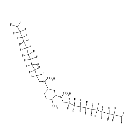 CC1CCC(N(CC(F)(F)C(F)(F)C(F)(F)C(F)(F)C(F)(F)C(F)(F)C(F)(F)C(F)(F)C(F)(F)C(F)F)C(=O)O)CC1N(CC(F)(F)C(F)(F)C(F)(F)C(F)(F)C(F)(F)C(F)(F)C(F)(F)C(F)(F)C(F)(F)C(F)F)C(=O)O